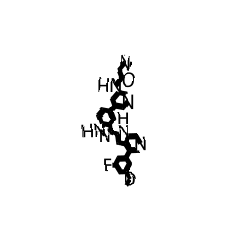 COc1cc(F)cc(-c2cncc3[nH]c(-c4n[nH]c5ccc(-c6cncc(NC(=O)CN(C)C)c6)cc45)cc23)c1